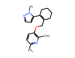 CCCn1nccc1C1=C(COc2ccc(C)nc2C=O)CCCC1